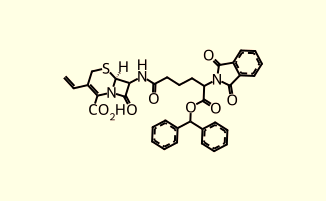 C=CC1=C(C(=O)O)N2C(=O)C(NC(=O)CCCC(C(=O)OC(c3ccccc3)c3ccccc3)N3C(=O)c4ccccc4C3=O)[C@@H]2SC1